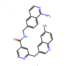 N#Cc1ccc2ncc(Cc3cc(C(=O)NCc4ccc5c(N)nccc5c4)ccn3)cc2c1